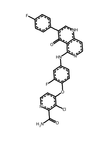 NC(=O)c1nccc(Oc2ccc(Nc3nccc4[nH]cc(-c5ccc(F)cc5)c(=O)c34)cc2F)c1Cl